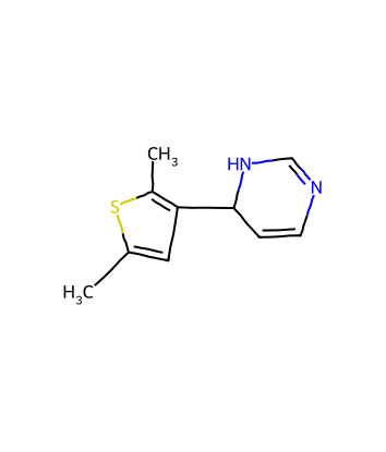 Cc1cc(C2C=CN=CN2)c(C)s1